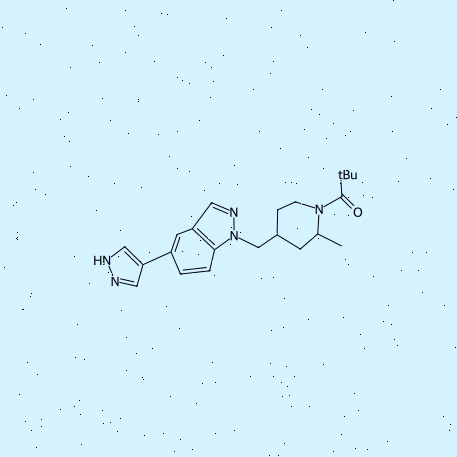 CC1CC(Cn2ncc3cc(-c4cn[nH]c4)ccc32)CCN1C(=O)C(C)(C)C